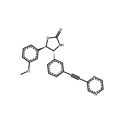 COc1cccc([C@H]2OC(=O)N[C@@H]2c2cccc(C#Cc3cnccn3)c2)c1